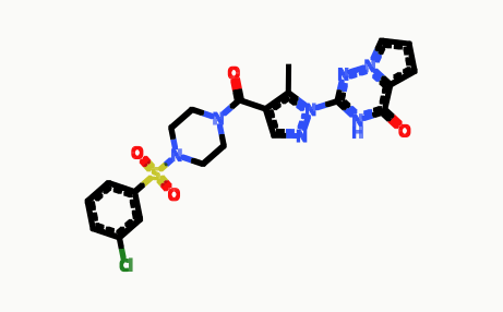 Cc1c(C(=O)N2CCN(S(=O)(=O)c3cccc(Cl)c3)CC2)cnn1-c1nn2cccc2c(=O)[nH]1